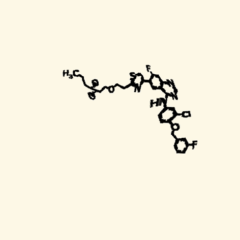 CCCS(=O)(=O)CCOCCc1nc(-c2cc3c(Nc4ccc(OCc5cccc(F)c5)c(Cl)c4)ncnc3cc2F)cs1